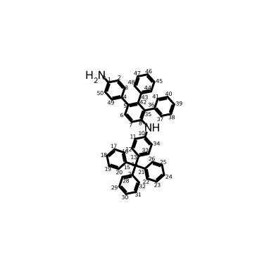 Nc1ccc(-c2ccc(Nc3ccc(C(c4ccccc4)(c4ccccc4)c4ccccc4)cc3)c(-c3ccccc3)c2-c2ccccc2)cc1